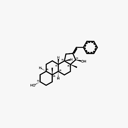 C[C@@]12CC[C@@H]3[C@H](CC[C@@H]4C[C@@H](O)CC[C@]43C)[C@@H]1CC(=Cc1ccccc1)[C@H]2O